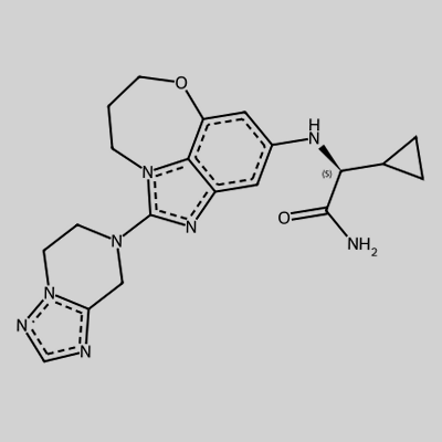 NC(=O)[C@@H](Nc1cc2c3c(c1)nc(N1CCn4ncnc4C1)n3CCCO2)C1CC1